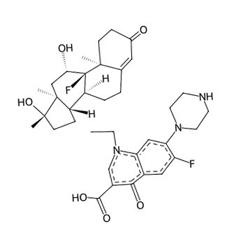 CCn1cc(C(=O)O)c(=O)c2cc(F)c(N3CCNCC3)cc21.C[C@]1(O)CC[C@H]2[C@@H]3CCC4=CC(=O)CC[C@]4(C)[C@@]3(F)[C@@H](O)C[C@@]21C